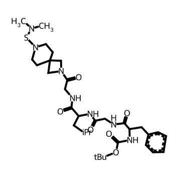 CC(C)CC(NC(=O)CNC(=O)C(Cc1ccccc1)NC(=O)OC(C)(C)C)C(=O)NCC(=O)N1CC2(CCN(SN(C)C)CC2)C1